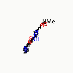 CNC(=O)COCCCCCN1CCN(CCNC(=O)COCCCCN2CCN(C)CC2)CC1